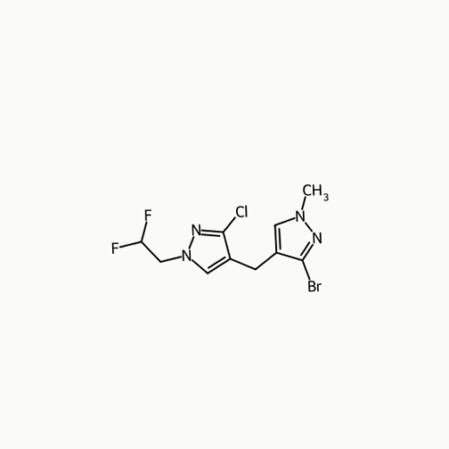 Cn1cc(Cc2cn(CC(F)F)nc2Cl)c(Br)n1